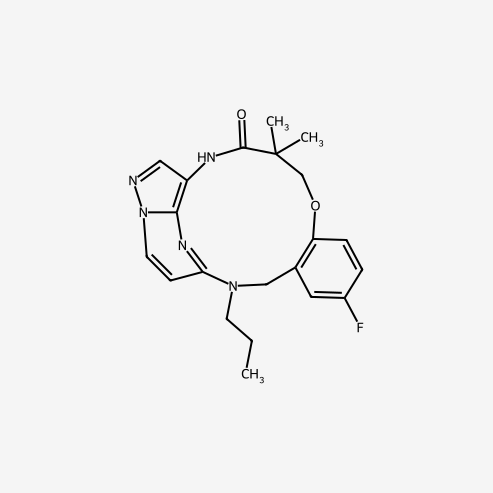 CCCN1Cc2cc(F)ccc2OCC(C)(C)C(=O)Nc2cnn3ccc1nc23